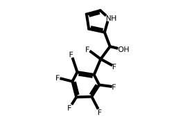 OC(c1ccc[nH]1)C(F)(F)c1c(F)c(F)c(F)c(F)c1F